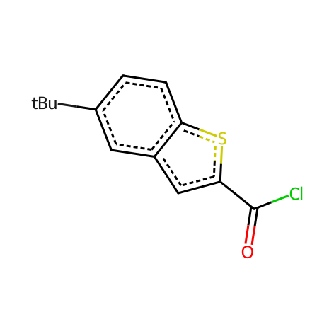 CC(C)(C)c1ccc2sc(C(=O)Cl)cc2c1